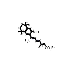 CCOC(=O)/C=C(C)/C=C/C=C(/c1cc2c(cc1O)C(C)(C)CCC2(C)C)C(F)(F)F